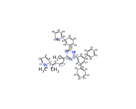 C=C(/C=C\C=C(/C)C1C=CC=CN1C)c1nc(-c2cc(C3=CC=CC=CC3)cc(-c3ccccc3)c2)nc(-c2cccc(-c3ccccn3)c2)n1